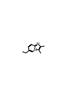 CCc1ccc2nc(C)c(C)n2c1